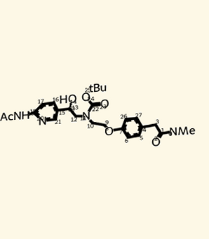 CNC(=O)Cc1ccc(OCCN(C[C@H](O)c2ccc(NC(C)=O)nc2)C(=O)OC(C)(C)C)cc1